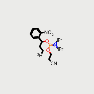 [2H]CCC(OP(OCCC#N)N(C(C)C)C(C)C)c1ccccc1[N+](=O)[O-]